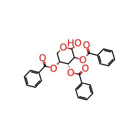 O=C(OC1[C@H](O)OC[C@H](OC(=O)c2ccccc2)[C@H]1OC(=O)c1ccccc1)c1ccccc1